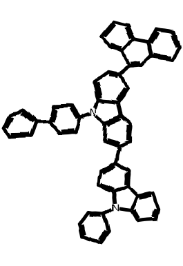 c1ccc(-c2ccc(-n3c4ccc(-c5cc6ccccc6c6ccccc56)cc4c4ccc(-c5ccc6c(c5)c5ccccc5n6-c5ccccc5)cc43)cc2)cc1